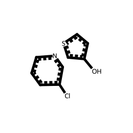 Clc1cccnc1.Oc1ccsc1